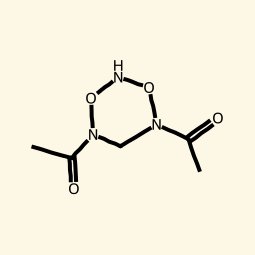 CC(=O)N1CN(C(C)=O)ONO1